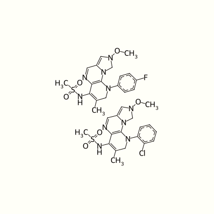 CON1C=C2C=NC3=C(N2C1)N(c1ccc(F)cc1)CC(C)=C3NS(C)(=O)=O.CON1C=C2C=NC3=C(N2C1)N(c1ccccc1Cl)CC(C)=C3NS(C)(=O)=O